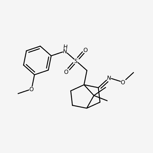 CON=C1CC2CCC1(CS(=O)(=O)Nc1cccc(OC)c1)C2(C)C